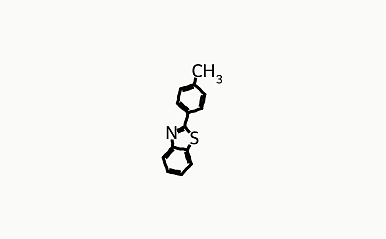 Cc1ccc(-c2nc3ccccc3s2)cc1